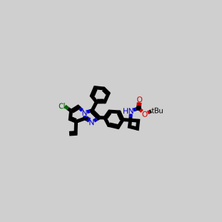 C=Cc1cc(Cl)cn2c(-c3ccccc3)c(-c3ccc(C4(NC(=O)OC(C)(C)C)CCC4)cc3)nc12